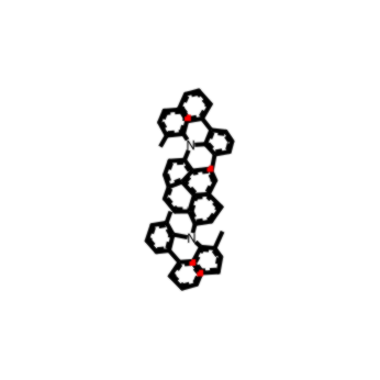 Cc1ccccc1N(c1c(C)cccc1-c1ccccc1)c1ccc2ccc3c(N(c4ccccc4C)c4c(C)cccc4-c4ccccc4)ccc4ccc1c2c43